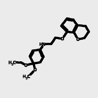 CCOC1(OC)C=CC(NCCOc2cccc3c2OCCC3)=CC1